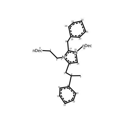 CCCCCCCCCCCC[n+]1c(CC(C)c2ccccc2)cn(CCCCCCCCCC)c1Cc1ccccc1